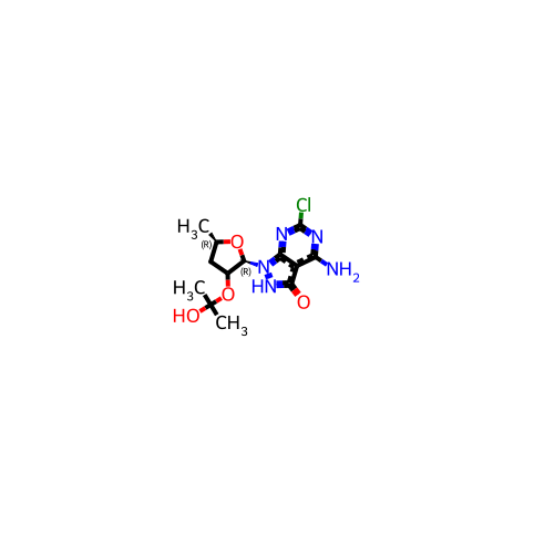 C[C@@H]1CC(OC(C)(C)O)[C@H](n2[nH]c(=O)c3c(N)nc(Cl)nc32)O1